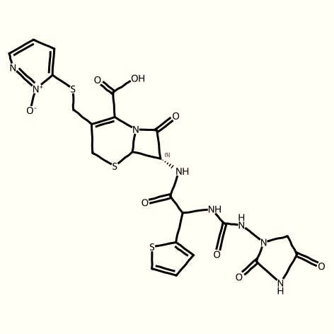 O=C1CN(NC(=O)NC(C(=O)N[C@H]2C(=O)N3C(C(=O)O)=C(CSc4cccn[n+]4[O-])CSC23)c2cccs2)C(=O)N1